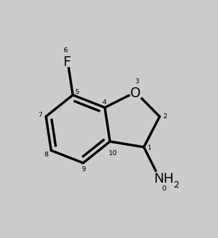 NC1COc2c(F)cccc21